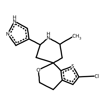 CC1CC2(CC(c3cn[nH]c3)N1)OCCc1cc(Cl)sc12